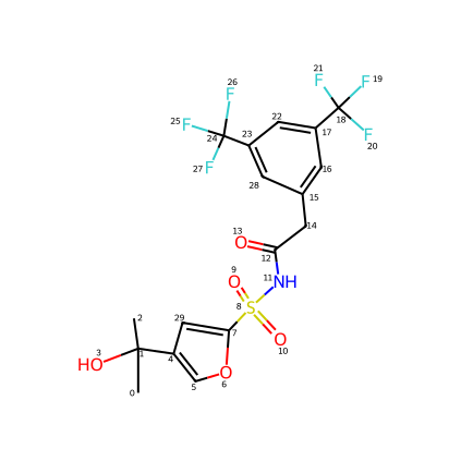 CC(C)(O)c1coc(S(=O)(=O)NC(=O)Cc2cc(C(F)(F)F)cc(C(F)(F)F)c2)c1